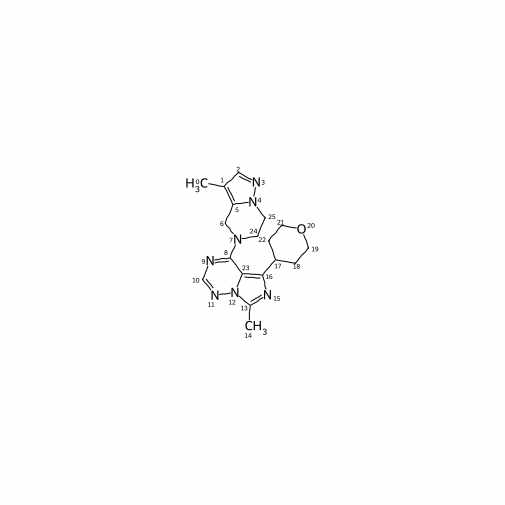 Cc1cnn2c1CN(c1ncnn3c(C)nc(C4CCOCC4)c13)CC2